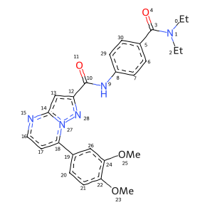 CCN(CC)C(=O)c1ccc(NC(=O)c2cc3nccc(-c4ccc(OC)c(OC)c4)n3n2)cc1